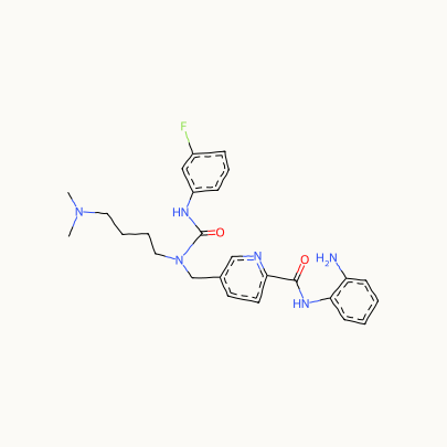 CN(C)CCCCN(Cc1ccc(C(=O)Nc2ccccc2N)nc1)C(=O)Nc1cccc(F)c1